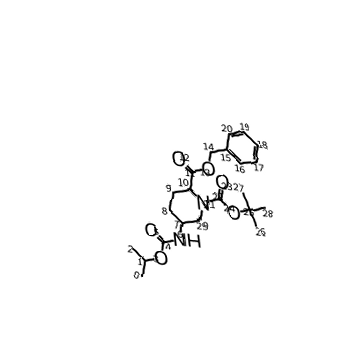 CC(C)OC(=O)NC1CCC(C(=O)OCc2ccccc2)N(C(=O)OC(C)(C)C)C1